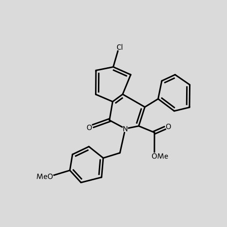 COC(=O)c1c(-c2ccccc2)c2cc(Cl)ccc2c(=O)n1Cc1ccc(OC)cc1